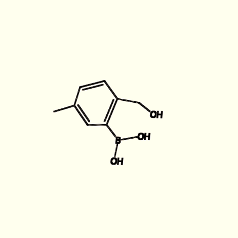 Cc1ccc(CO)c(B(O)O)c1